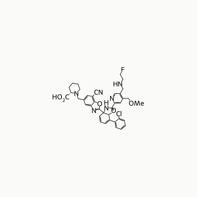 COCc1cc(C(=O)NC2(c3nc4cc(CN5CCCC[C@H]5C(=O)O)cc(C#N)c4o3)C=CC=C(c3ccccc3Cl)C2C)ncc1CNCCF